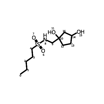 CCCCCS(=O)(=O)NCC1(O)C[CH]C(O)C1